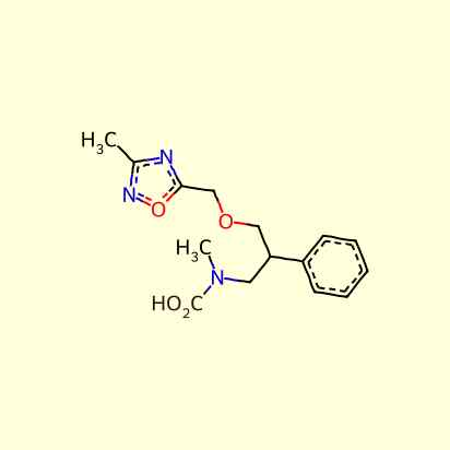 Cc1noc(COCC(CN(C)C(=O)O)c2ccccc2)n1